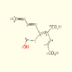 C=CC=CC(CCO)=C(C=CC(=O)O)C(=O)O